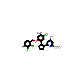 O=C([O-])c1cc(C(F)(F)F)cc(C2=C(c3cc(Cl)ccc3OCc3ccc(F)c(F)c3F)CCC2)n1.[Na+]